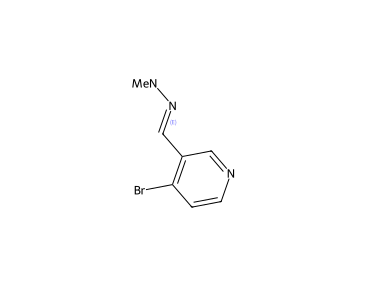 CN/N=C/c1cnccc1Br